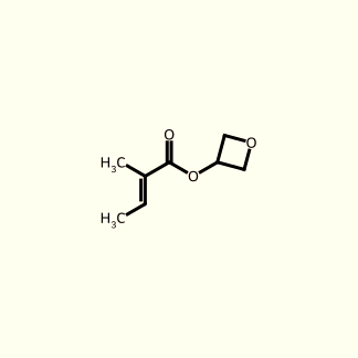 CC=C(C)C(=O)OC1COC1